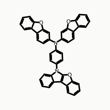 c1ccc2c(c1)oc1cc(N(c3ccc(-n4c5ccccc5c5c6ccccc6oc54)cc3)c3ccc4c(c3)oc3ccccc34)ccc12